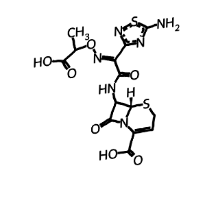 CC(ON=C(C(=O)NC1C(=O)N2C(C(=O)O)=CCS[C@@H]12)c1nsc(N)n1)C(=O)O